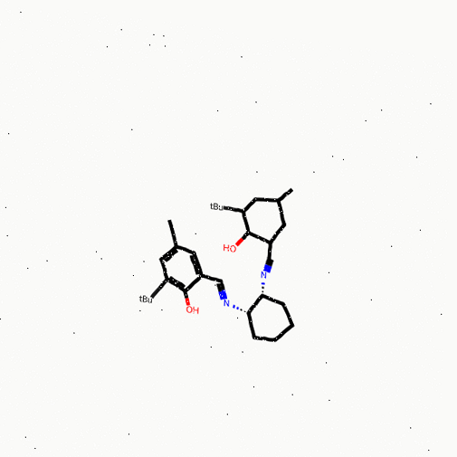 Cc1cc(/C=N/[C@H]2CCCC[C@H]2/N=C/C2CC(C)CC(C(C)(C)C)C2O)c(O)c(C(C)(C)C)c1